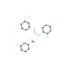 O=C(O[C@H]1Cc2c(O)cc(O)cc2O[C@@H]1c1cc(O)c(O)c(O)c1)c1ccc(O)c(O)c1